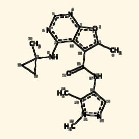 Cc1oc2ncnc(NC3(C)CC3)c2c1C(=O)Nc1cnn(C)c1C